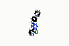 Clc1ncccc1-c1ncnc(Nc2ccc(N3CCOCC3)cc2)n1